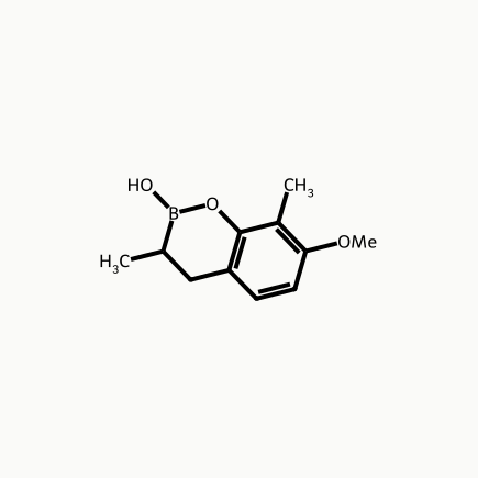 COc1ccc2c(c1C)OB(O)C(C)C2